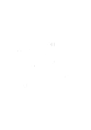 COc1ccc(Cl)c(OC(C(C)=O)C(=O)O)c1